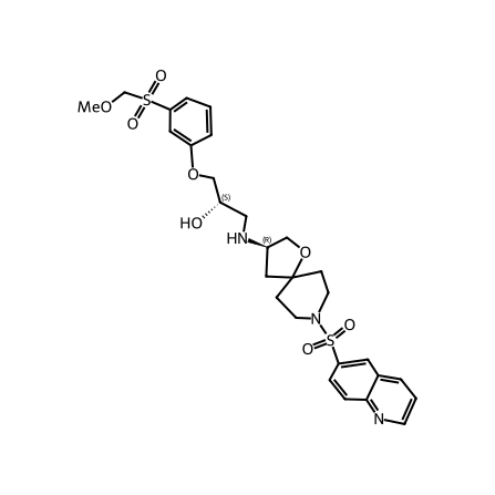 COCS(=O)(=O)c1cccc(OC[C@@H](O)CN[C@H]2COC3(CCN(S(=O)(=O)c4ccc5ncccc5c4)CC3)C2)c1